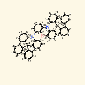 c1ccc(C2(c3ccccc3)c3ccccc3N3c4cccc5c4B(c4cccc2c43)c2cccc3c2N5c2ccccc2C3(c2ccccc2)c2ccccc2)cc1